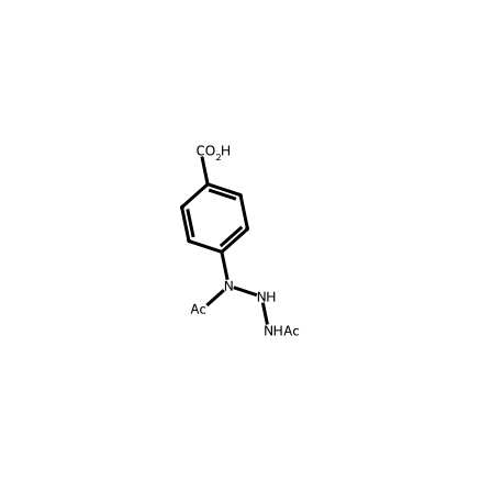 CC(=O)NNN(C(C)=O)c1ccc(C(=O)O)cc1